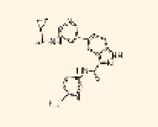 C=C(Nc1ccc(C(F)(F)F)nc1)c1n[nH]c2ccc(-c3cncc(NC(=C)C4CC4)c3)cc12